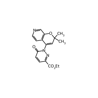 CCOC(=O)c1ccc(=O)n(C2=CC(C)(C)Oc3cnccc32)n1